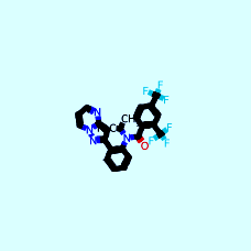 CC(C)N(C(=O)c1ccc(C(F)(F)F)cc1C(F)(F)F)c1ccc[c]c1-c1cc2ncccn2n1